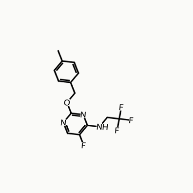 Cc1ccc(COc2ncc(F)c(NCC(F)(F)F)n2)cc1